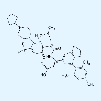 Cc1cc(C)c(-c2cc([C@@H](CC(=O)O)NC(=O)[C@@H](CC(C)C)n3cc(C4CCN(C5CCCC5)CC4)c(C(F)(F)F)cc3=O)cc3c2CCC3)c(C)c1